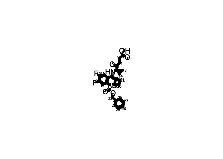 O=C(O)CCC(=O)C1(NC2c3cc(F)c(F)cc3N(C(=O)OCc3ccccc3)C3CCC23)CC1